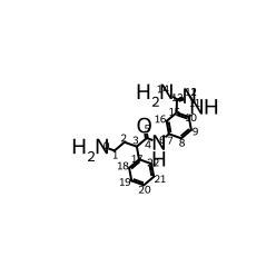 NCCC(C(=O)Nc1ccc2[nH]nc(N)c2c1)c1ccccc1